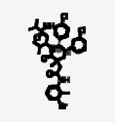 Cc1c(Br)cccc1NC(=O)C[C@@]1(C)C[C@H](c2cccc(Cl)c2)[C@@H](c2ccc(Cl)cc2)N(C(CS(=N)(=O)C(C)C)C(C)C)C1=O